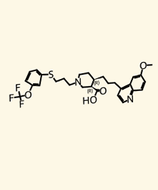 COc1ccc2nccc(CCC[C@@H]3CCN(CCCSc4cccc(OC(F)(F)F)c4)C[C@@H]3C(=O)O)c2c1